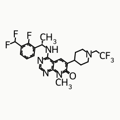 C[C@@H](Nc1ncnc2c1cc(C1CCN(CC(F)(F)F)CC1)c(=O)n2C)c1cccc(C(F)F)c1F